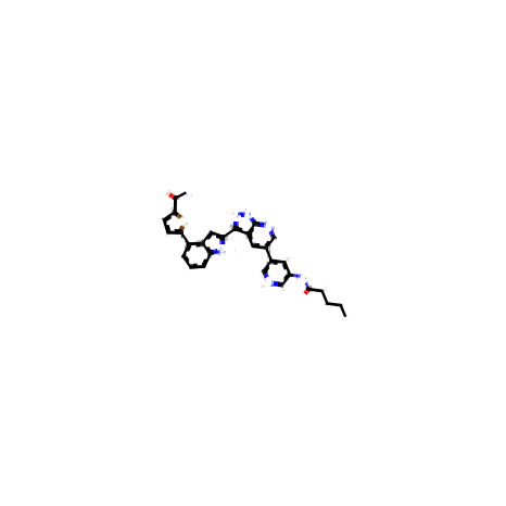 CCCCC(=O)Nc1cncc(-c2cnc3[nH]nc(-c4cc5c(-c6ccc(C(C)=O)s6)cccc5[nH]4)c3c2)c1